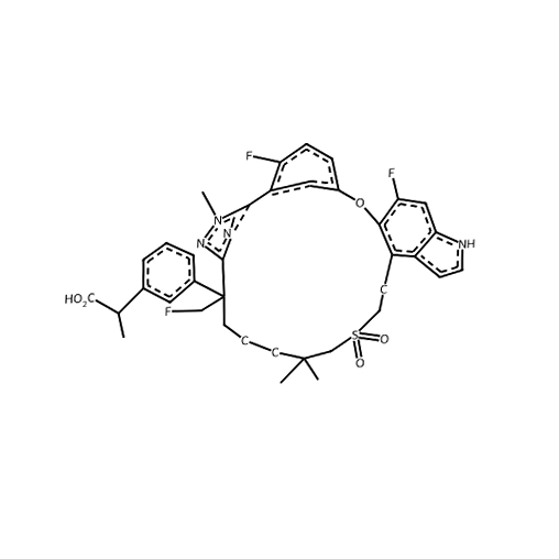 CC(C(=O)O)c1cccc(C2(CF)CCCC(C)(C)CS(=O)(=O)CCc3c(c(F)cc4[nH]ccc34)Oc3ccc(F)c(c3)-c3nc2nn3C)c1